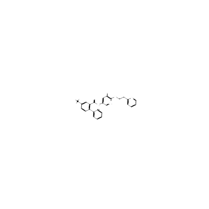 O=C(Nc1cnc(NCCc2ccccn2)c(Cl)c1)c1cc(C(F)(F)F)ccc1-c1ccccc1